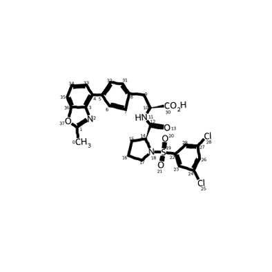 Cc1nc2c(-c3ccc(C[C@H](NC(=O)[C@@H]4CCCN4S(=O)(=O)c4cc(Cl)cc(Cl)c4)C(=O)O)cc3)cccc2o1